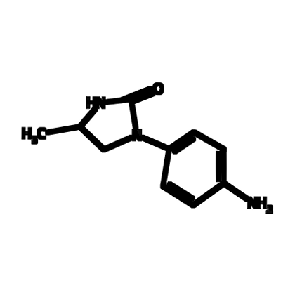 CC1CN(c2ccc(N)cc2)C(=O)N1